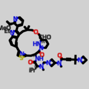 CCn1c(-c2cccnc2[C@H](C)OC)c2c3cc(ccc31)-c1csc(n1)C[C@H](NC(=O)[C@H](C(C)C)N(C)CN1CC(N(C)C(=O)C#CC(C)(C)N3CCC3)C1)C(=O)N1CCC[C@](C=O)(COCC(C)(C)C2)N1